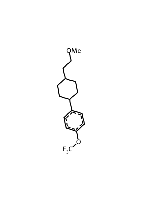 COCCC1CCC(c2ccc(OC(F)(F)F)cc2)CC1